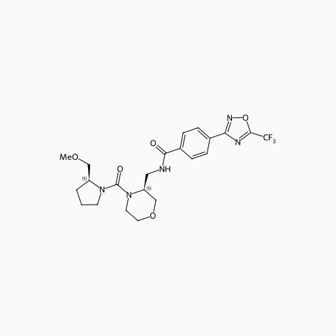 COC[C@@H]1CCCN1C(=O)N1CCOC[C@@H]1CNC(=O)c1ccc(-c2noc(C(F)(F)F)n2)cc1